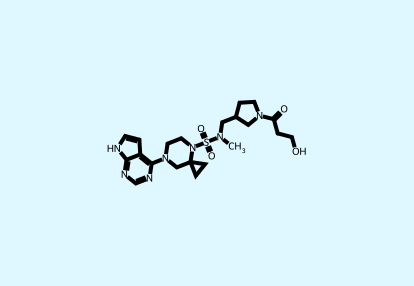 CN(CC1CCN(C(=O)CCO)C1)S(=O)(=O)N1CCN(c2ncnc3[nH]ccc23)CC12CC2